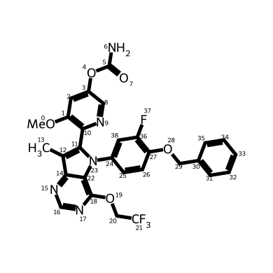 COc1cc(OC(N)=O)cnc1-c1c(C)c2ncnc(OCC(F)(F)F)c2n1-c1ccc(OCc2ccccc2)c(F)c1